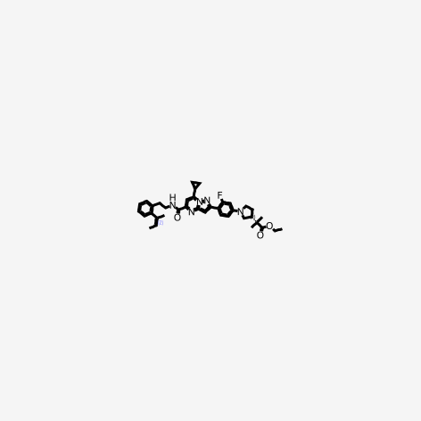 C/C=C(/C)c1ccccc1CCNC(=O)c1cc(C2CC2)n2nc(-c3ccc(N4CC[C@H](C(C)(C)C(=O)OCC)C4)cc3F)cc2n1